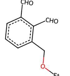 CCOCc1cccc(C=O)c1C=O